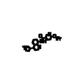 CC(C)Oc1ccc(C(=O)Nc2cccc3c(-c4ccn(C)c4)ccnc23)cn1